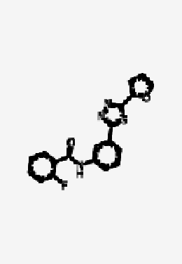 O=C(Nc1cccc(-c2nnc(-c3ccco3)s2)c1)c1ccccc1F